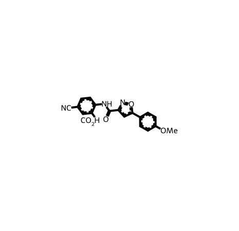 COc1ccc(-c2cc(C(=O)Nc3ccc(C#N)cc3C(=O)O)no2)cc1